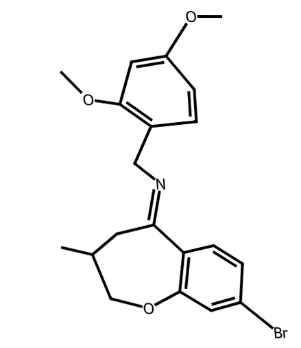 COc1ccc(CN=C2CC(C)COc3cc(Br)ccc32)c(OC)c1